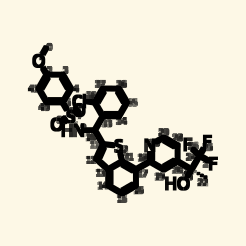 COc1ccc(S(=O)(=O)NC(c2cc3cccc(-c4cc([C@](C)(O)C(F)(F)F)ccn4)c3s2)c2ccccc2Cl)cc1